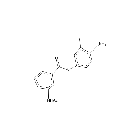 CC(=O)Nc1cccc(C(=O)Nc2ccc(N)c(C)c2)c1